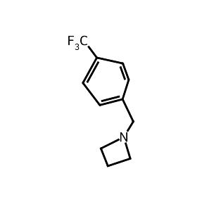 FC(F)(F)c1ccc(CN2CCC2)cc1